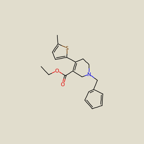 CCOC(=O)C1=C(c2ccc(C)s2)CCN(Cc2ccccc2)C1